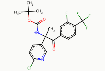 CC(C)(C)OC(=O)NC(C)(C(=O)c1ccc(C(F)(F)F)c(F)c1)c1ccc(Cl)nc1